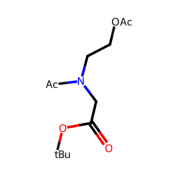 CC(=O)OCCN(CC(=O)OC(C)(C)C)C(C)=O